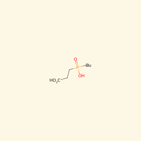 CCC(C)P(=O)(O)CCC(=O)O